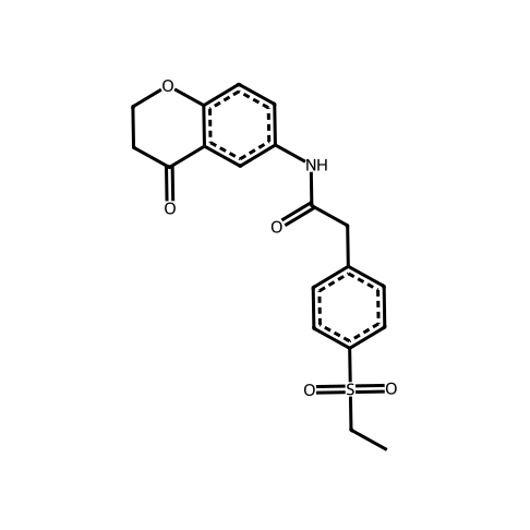 CCS(=O)(=O)c1ccc(CC(=O)Nc2ccc3c(c2)C(=O)CCO3)cc1